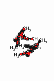 CCCCCCCC(=O)OCn1cc2cc(C[C@@H](NC(=O)N3CCC(c4cc5ccccc5n(COC(=O)CCCCC)c4=O)CC3)C(=O)N3CCN(C4CCN(C)CC4)CC3)cc(C)c2n1.CCCCCCCOC(=O)n1ncc2cc(C[C@@H](NC(=O)N3CCC(c4cc5ccccc5n(COC(=O)CCCCC)c4=O)CC3)C(=O)N3CCN(C4CCN(C)CC4)CC3)cc(C)c21